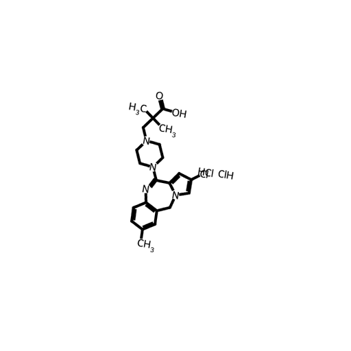 Cc1ccc2c(c1)Cn1cc(Cl)cc1C(N1CCN(CC(C)(C)C(=O)O)CC1)=N2.Cl.Cl